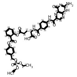 C#COP(=O)(OCC)OCc1ccc(OC(=O)c2ccccc2OC(=O)CC[C@H](NC(=O)c2ccc(NC(=O)c3cnc4[nH]c(N)nc(=O)c4n3)cc2)C(=O)O)cc1